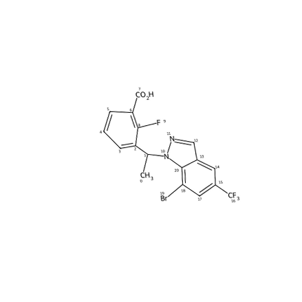 CC(c1cccc(C(=O)O)c1F)n1ncc2cc(C(F)(F)F)cc(Br)c21